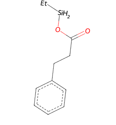 CC[SiH2]OC(=O)CCc1ccccc1